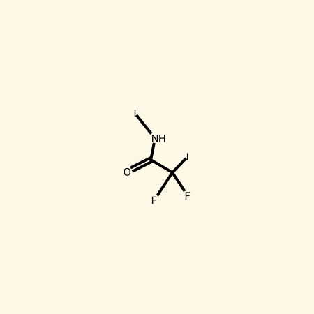 O=C(NI)C(F)(F)I